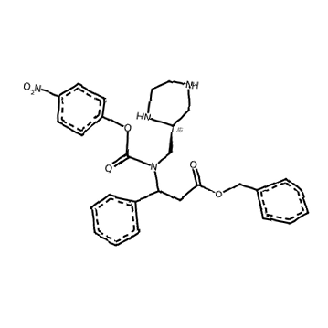 O=C(CC(c1ccccc1)N(C[C@@H]1CNCCN1)C(=O)Oc1ccc([N+](=O)[O-])cc1)OCc1ccccc1